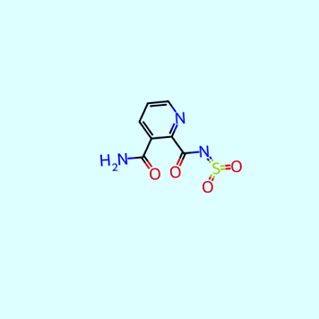 NC(=O)c1cccnc1C(=O)N=S(=O)=O